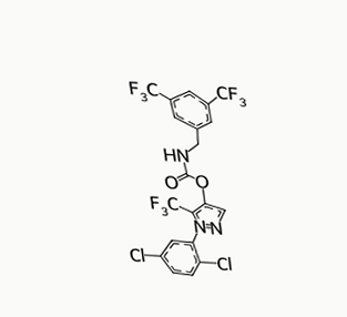 O=C(NCc1cc(C(F)(F)F)cc(C(F)(F)F)c1)Oc1cnn(-c2cc(Cl)ccc2Cl)c1C(F)(F)F